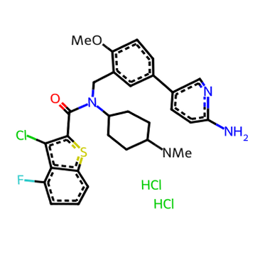 CNC1CCC(N(Cc2cc(-c3ccc(N)nc3)ccc2OC)C(=O)c2sc3cccc(F)c3c2Cl)CC1.Cl.Cl